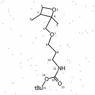 CC1COC1(C)COCCCNC(=O)OC(C)(C)C